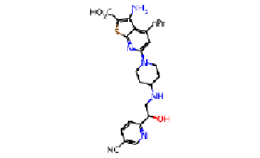 CCCc1cc(N2CCC(NCC(O)c3ccc(C#N)cn3)CC2)nc2sc(C(=O)O)c(N)c12